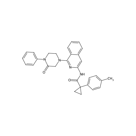 Cc1ccc(C2(C(=O)Nc3cc4ccccc4c(N4CCN(c5ccccc5)C(=O)C4)n3)CC2)cc1